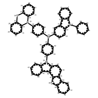 c1ccc(-n2c3ccccc3c3cc(N(c4ccc(N5c6ccccc6Sc6ccccc65)cc4)c4ccc(-n5c6ccccc6c6c7sc8ccccc8c7ccc65)cc4)ccc32)cc1